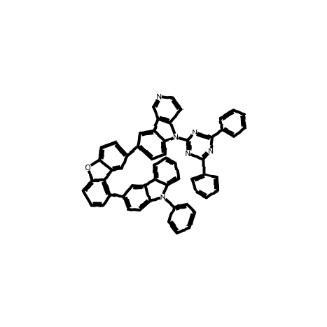 c1ccc(-c2nc(-c3ccccc3)nc(-n3c4ccncc4c4cc(-c5ccc6oc7cccc(-c8ccc9c(c8)c8ccccc8n9-c8ccccc8)c7c6c5)ccc43)n2)cc1